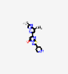 Cc1cn2nc(-c3cc(=O)n4nc(C5CCNCC5)sc4n3)cc(C)c2n1